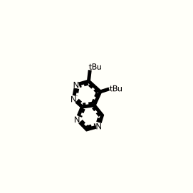 CC(C)(C)c1nnc2ncncc2c1C(C)(C)C